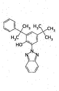 CC(C)(C)c1cc(-n2nc3ccccc3n2)c(O)c(C(C)(C)c2ccccc2)c1